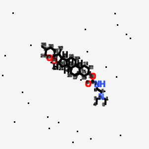 CCN(CC)CCNC(=O)O[C@H]1CC[C@@]2(C)C(=CC[C@H]3[C@@H]4C[C@@H]5O[C@@]6(CC[C@H](C)CO6)[C@@H](C)[C@@H]5[C@@]4(C)CC[C@@H]32)C1